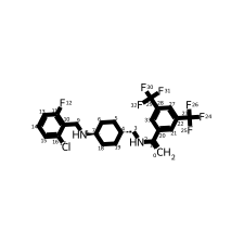 C=C(NC[C@H]1CC[C@H](NCc2c(F)cccc2Cl)CC1)c1cc(C(F)(F)F)cc(C(F)(F)F)c1